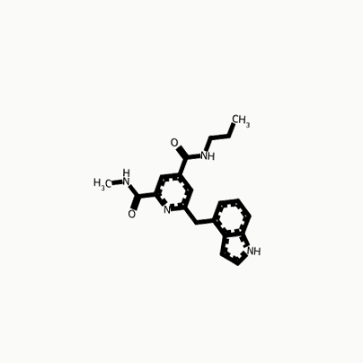 CCCNC(=O)c1cc(Cc2cccc3[nH]ccc23)nc(C(=O)NC)c1